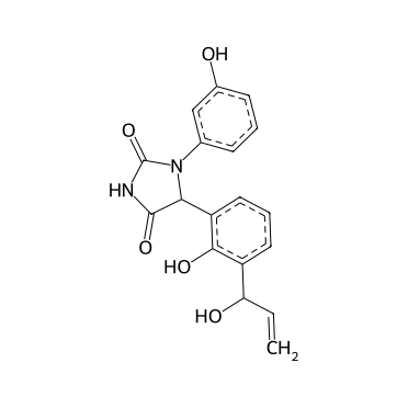 C=CC(O)c1cccc(C2C(=O)NC(=O)N2c2cccc(O)c2)c1O